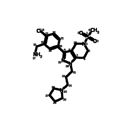 CS(=O)(=O)N1CCc2c(c(-c3ccc(Cl)c(CN)c3)nn2CCCN2CCCC2)C1